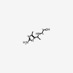 Cc1nc(N)sc1C(C)NCCO